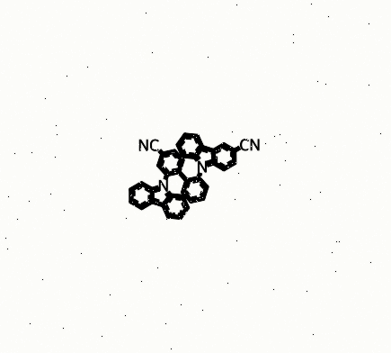 N#Cc1ccc(-c2ccccc2-n2c3ccccc3c3cc(C#N)ccc32)c(-n2c3ccccc3c3ccccc32)c1